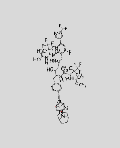 COC(=O)NC(C(=O)NC(Cc1ccc(C#Cc2ccc(N3C4CCC3CN(C3COC3)C4)nc2)cc1)C(O)CN(Cc1c(F)cc(-c2cnn(C(F)F)c2)cc1F)NC(=O)C(NC(=O)O)C(C)(C)C(F)(F)F)C(C)(C)C(F)(F)F